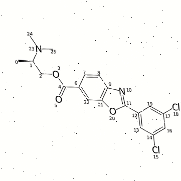 C[C@H](COC(=O)c1ccc2nc(-c3cc(Cl)cc(Cl)c3)oc2c1)N(C)C